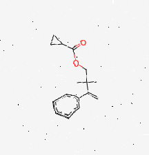 C=C(c1ccccc1)C(C)(C)COC(=O)C1CC1